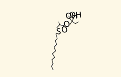 CCCCCCCCCCCCSCC(C)C(=O)OCC(CC)(CO)CO